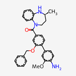 COc1cc(-c2ccc(C(=O)N3CC[C@H](C)Nc4ccccc43)cc2OCc2ccccc2)ccc1N